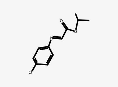 CC(C)OC(=O)C=Nc1ccc(Cl)cc1